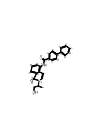 CC(CO)n1ccc2c(NC(=O)c3ccc(-c4ccccc4)cc3)cccc2c1=O